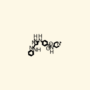 CN1CCC(NS(=O)(=O)c2ccc(Nc3cc(-c4nc5ccccc5[nH]4)n[nH]3)cc2)CC1